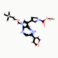 CC(C)(C)OC(=O)N1CC=C(c2cn(COCC[Si](C)(C)C)c3ncc(C4=CCOCC4)nc23)C1